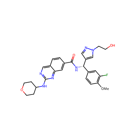 COc1ccc([C@H](NC(=O)c2ccc3cnc(NC4CCOCC4)nc3c2)c2cnn(CCO)c2)cc1F